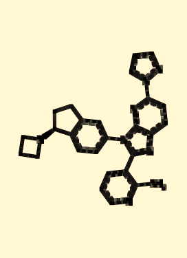 Nc1ncccc1-c1nc2ccc(-n3cccn3)nc2n1-c1ccc2c(c1)CC[C@@H]2N1CCC1